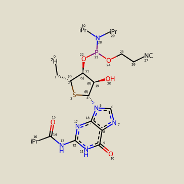 [2H]C[C@H]1S[C@@H](n2cnc3c(=O)[nH]c(NC(=O)C(C)C)nc32)[C@H](O)[C@@H]1OP(OCC[N+]#[C-])N(C(C)C)C(C)C